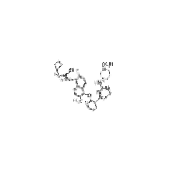 Cc1ccc2c(NC(=O)[C@H]3CC34CCC4)c(F)ccc2c1Oc1ncccc1-c1ccnc(N[C@H]2CCCN(C(=O)O)C2)n1